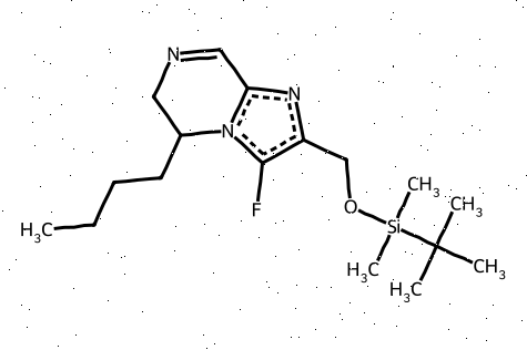 CCCCC1CN=Cc2nc(CO[Si](C)(C)C(C)(C)C)c(F)n21